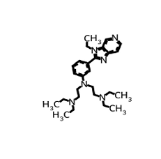 CCN(CC)CCN(CCN(CC)CC)c1cccc(-c2nc3ccncc3n2CC)c1